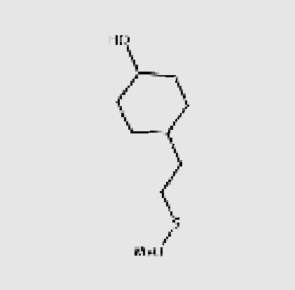 COSCCC1CCC(O)CC1